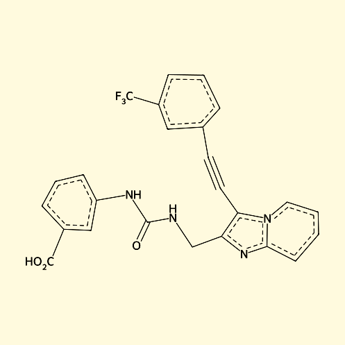 O=C(NCc1nc2ccccn2c1C#Cc1cccc(C(F)(F)F)c1)Nc1cccc(C(=O)O)c1